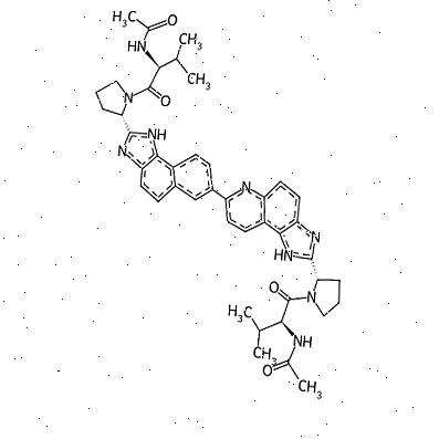 CC(=O)N[C@H](C(=O)N1CCC[C@H]1c1nc2ccc3cc(-c4ccc5c(ccc6nc([C@@H]7CCCN7C(=O)[C@@H](NC(C)=O)C(C)C)[nH]c65)n4)ccc3c2[nH]1)C(C)C